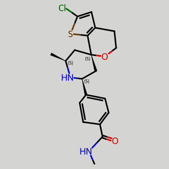 CNC(=O)c1ccc([C@@H]2C[C@]3(C[C@H](C)N2)OCCc2cc(Cl)sc23)cc1